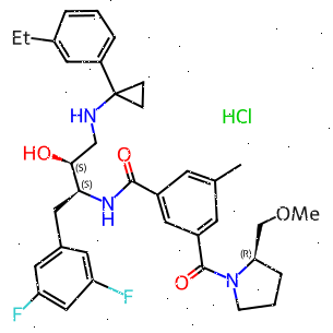 CCc1cccc(C2(NC[C@H](O)[C@H](Cc3cc(F)cc(F)c3)NC(=O)c3cc(C)cc(C(=O)N4CCC[C@@H]4COC)c3)CC2)c1.Cl